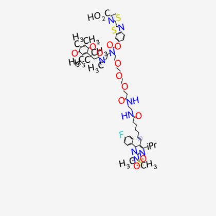 CC1=C(C)C(=O)C(C(C)(C)CC(=O)N(C)CCN(CCOCCOCCOCCC(=O)NCCNC(=O)CCCC/C=C/c2c(-c3ccc(F)cc3)nc(N(C)S(C)(=O)=O)nc2C(C)C)C(=O)Oc2ccc3nc(C4=NC(C(=O)O)CS4)sc3c2)=C(C)C1=O